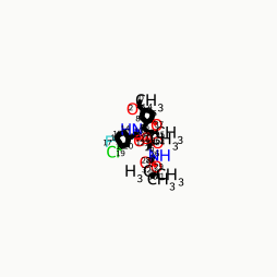 CC(=O)c1ccc2c(c1)[C@@H](NC(=O)c1ccc(F)c(Cl)c1)[C@H](OC(=O)CNC(=O)OC(C)(C)C)C(C)(C)O2